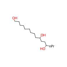 CCCC(O)CCC(O)CCCCCCCCCO